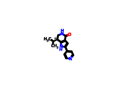 CC(C)[C@H]1CNC(=O)c2cc(-c3ccncc3)[nH]c21